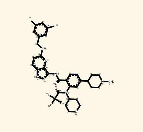 CN1CCC(c2ccc(C(=O)Nc3n[nH]c4ccc(SCc5cc(F)cc(F)c5)nc34)c(N(C(=O)C(F)(F)F)C3CCOCC3)c2)CC1